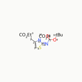 CCOC(=O)Cc1cs/c(=N/C(=O)OC(C)(C)C)n1C(=O)O